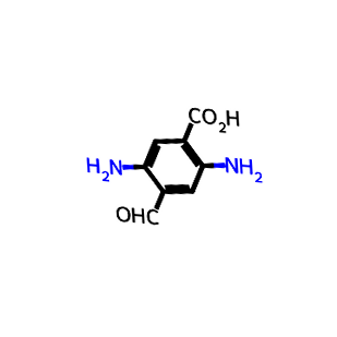 Nc1cc(C(=O)O)c(N)cc1C=O